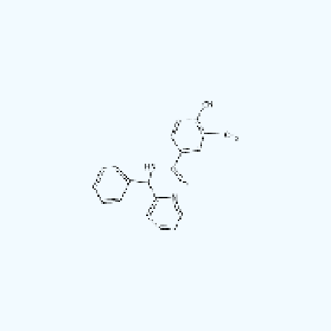 Cc1cc(C(=O)NC(c2ccccc2)c2ccccn2)ccc1C#N